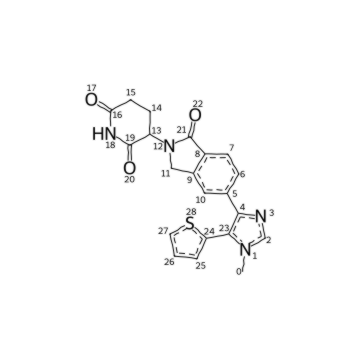 Cn1cnc(-c2ccc3c(c2)CN(C2CCC(=O)NC2=O)C3=O)c1-c1cccs1